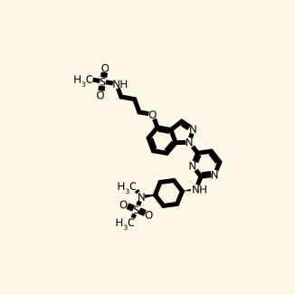 CN([C@H]1CC[C@H](Nc2nccc(-n3ncc4c(OCCCNS(C)(=O)=O)cccc43)n2)CC1)S(C)(=O)=O